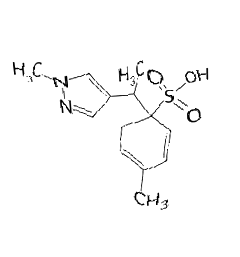 CC1=CCC(C(C)c2cnn(C)c2)(S(=O)(=O)O)C=C1